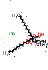 CCCCCCCCCCCCCC(=O)C(CO)(C(=O)CCCCCCCCCCCCC)N(CCO)C(=O)C[N+](C)(C)C.[Cl-]